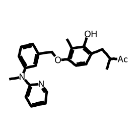 CC(=O)C(C)Cc1ccc(OCc2cccc(N(C)c3ccccn3)c2)c(C)c1O